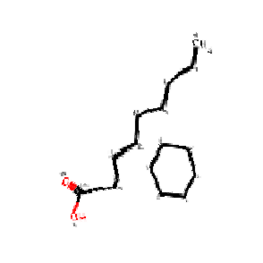 C1CCCCC1.CCCCCCCCC(=O)O